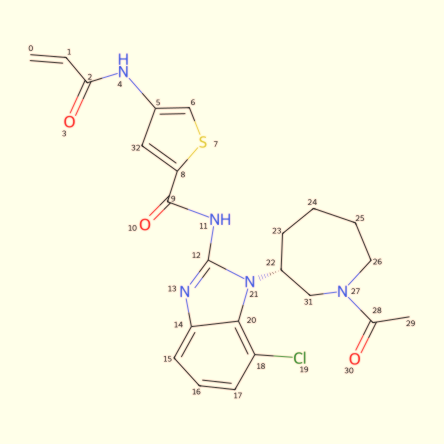 C=CC(=O)Nc1csc(C(=O)Nc2nc3cccc(Cl)c3n2[C@@H]2CCCCN(C(C)=O)C2)c1